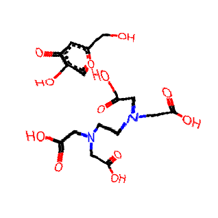 O=C(O)CN(CCN(CC(=O)O)CC(=O)O)CC(=O)O.O=c1cc(CO)occ1O